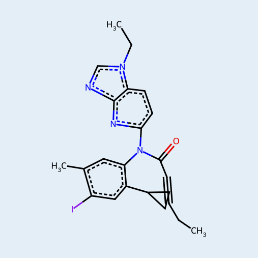 CCC#CC(=O)N(c1ccc2c(ncn2CC)n1)c1cc(C)c(I)cc1C1CC1